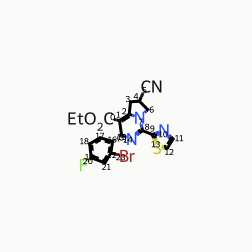 CCOC(=O)C1=C2CC(C#N)CN2C(c2nccs2)=N[C@@H]1c1ccc(F)cc1Br